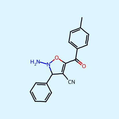 Cc1ccc(C(=O)C2=C(C#N)C(c3ccccc3)N(N)O2)cc1